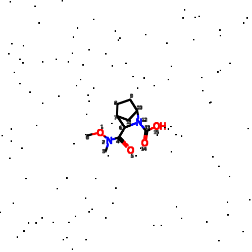 CON(C)C(=O)C1C2CCC(C2)N1C(=O)O